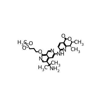 C[C@@H]1OC(=O)c2ccc(Nc3cc4c(C(C)(C)N)cnc(OCCCS(C)(=O)=O)c4cn3)nc2[C@H]1C